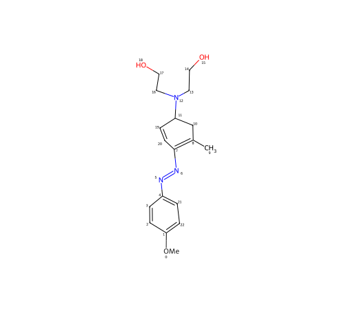 COc1ccc(/N=N/C2=C(C)CC(N(CCO)CCO)C=C2)cc1